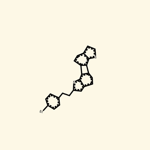 CCc1ccc(CCc2cc3ccc4c(c3s2)-c2ccc3ccsc3c2-4)cc1